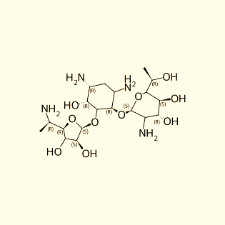 C[C@@H](O)C1O[C@H](O[C@@H]2C(N)C[C@@H](N)[C@@H](O)C2O[C@@H]2O[C@H]([C@@H](C)N)C(O)[C@@H]2O)C(N)[C@@H](O)[C@@H]1O